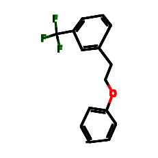 FC(F)(F)c1cccc(CCOc2cc[c]cc2)c1